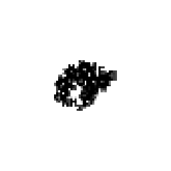 NC(=O)Cc1nccc(-c2cnc([C@@H]3CC[C@@H]4CC(c5c(-n6cc(C(F)(F)F)nn6)ccc(Cl)c5F)=CC(=O)N43)[nH]2)c1F